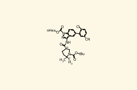 CCCCCCOC(=O)n1nc(NC(=O)[C@@H]2CCC(C)(C)N(C(=O)OC(C)(C)C)C2)c2cc(-c3cc(C#N)ccc3Cl)ccc21